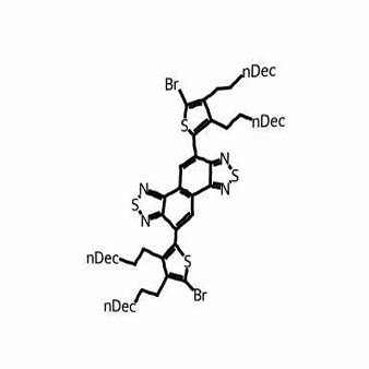 CCCCCCCCCCCCc1c(Br)sc(-c2cc3c(cc(-c4sc(Br)c(CCCCCCCCCCCC)c4CCCCCCCCCCCC)c4nsnc43)c3nsnc23)c1CCCCCCCCCCCC